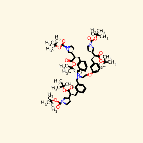 CC(C)(C)OC(=O)[C@@H](Cc1cccc(CN(CCOc2cccc(C[C@H](C(=O)OC(C)(C)C)[C@H]3CCN(C(=O)OC(C)(C)C)C3)c2)Cc2cccc(C[C@H](C(=O)OC(C)(C)C)[C@H]3CCN(C(=O)OC(C)(C)C)C3)c2)c1)[C@H]1CCN(C(=O)OC(C)(C)C)C1